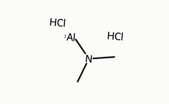 C[N](C)[Al].Cl.Cl